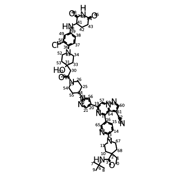 CCC1(C(=O)NC(C)(C)C)CCN(c2ccc(-c3nc(-c4cnn(C5CCN(C(=O)CC6(O)CCN(c7ccc(NC8CCC(=O)NC8=O)cc7Cl)CC6)CC5)c4)cn4ncc(C#N)c34)cn2)CC1